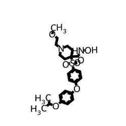 COCCN1CCC(C(=O)NO)(S(=O)(=O)c2ccc(Oc3ccc(OC(C)C)cc3)cc2)CC1